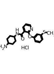 CSc1cccc(Oc2ncccc2C(=O)NC2CCC(N)CC2)c1.Cl